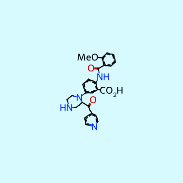 COc1ccccc1C(=O)Nc1ccc(N2CCNCC2C(=O)c2ccncc2)cc1C(=O)O